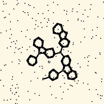 Fc1ccc(-n2c3ccccc3c3ccc(N(c4ccc5sc6ccccc6c5c4)c4ccc5c(c4)c4ccccc4n5-c4ccccc4)cc32)cc1